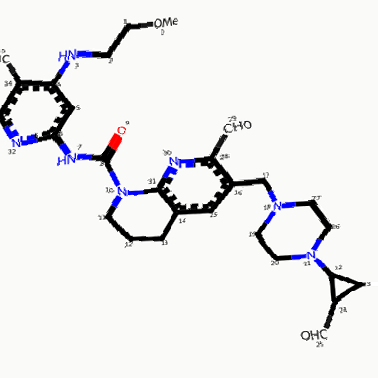 COCCNc1cc(NC(=O)N2CCCc3cc(CN4CCN(C5CC5C=O)CC4)c(C=O)nc32)ncc1C#N